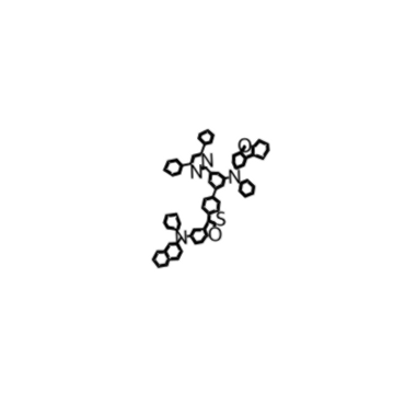 c1ccc(-c2cc(-c3ccccc3)nc(-c3cc(-c4ccc5c(c4)sc4oc6ccc(N(c7ccccc7)c7ccc8ccccc8c7)cc6c45)cc(N(c4ccccc4)c4ccc5oc6ccccc6c5c4)c3)n2)cc1